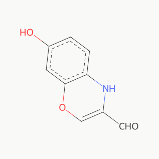 O=CC1=COc2cc(O)ccc2N1